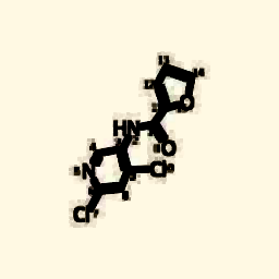 O=C(Nc1cnc(Cl)cc1Cl)c1ccco1